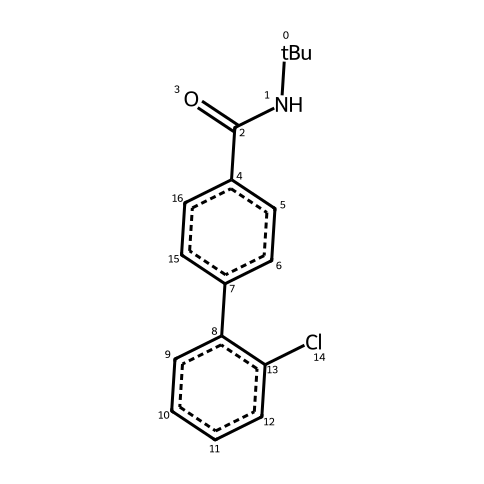 CC(C)(C)NC(=O)c1ccc(-c2ccccc2Cl)cc1